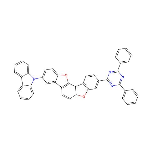 c1ccc(-c2nc(-c3ccccc3)nc(-c3ccc4c(c3)oc3ccc5c6cc(-n7c8ccccc8c8ccccc87)ccc6oc5c34)n2)cc1